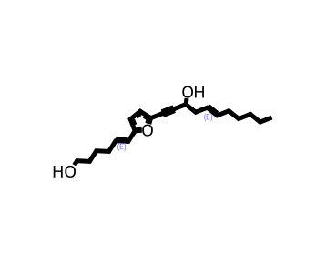 CCCCC/C=C/CC(O)C#Cc1ccc(/C=C/CCCCO)o1